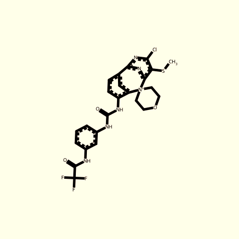 CSc1c(Cl)nc2nc1[N+]1(CCOCC1)c1cc-2ccc1NC(=O)Nc1cccc(NC(=O)C(F)(F)F)c1